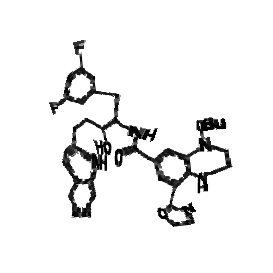 CCCCN1CCNc2c(-c3ncco3)cc(C(=O)NC(Cc3cc(F)cc(F)c3)C(O)CCc3cc4ccccc4[nH]3)cc21